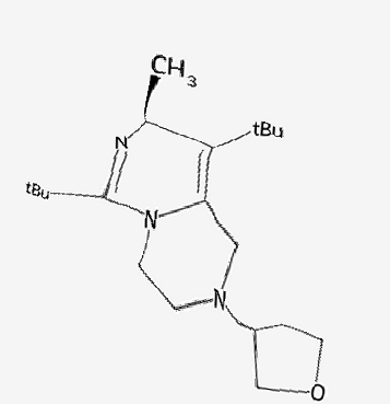 C[C@@H]1N=C(C(C)(C)C)N2CCN(C3COC3)CC2=C1C(C)(C)C